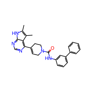 Cc1[nH]c2ncnc(C3=CCN(C(=O)Nc4cccc(-c5ccccc5)c4)CC3)c2c1C